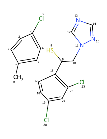 Cc1ccc(Cl)cc1.SC(Cn1cncn1)c1ccc(Cl)cc1Cl